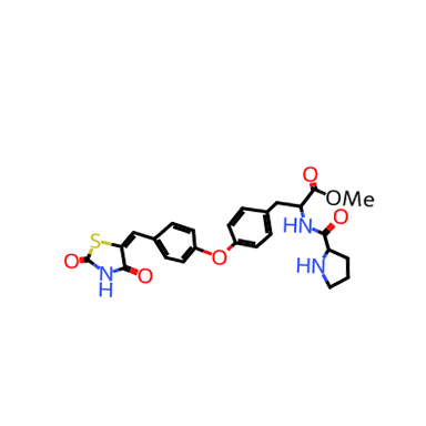 COC(=O)C(Cc1ccc(Oc2ccc(/C=C3/SC(=O)NC3=O)cc2)cc1)NC(=O)C1CCCN1